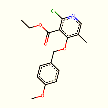 CCOC(=O)c1c(Cl)ncc(C)c1OCc1ccc(OC)cc1